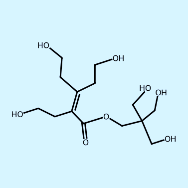 O=C(OCC(CO)(CO)CO)C(CCO)=C(CCO)CCO